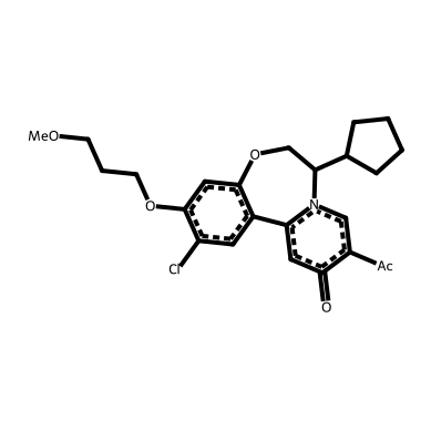 COCCCOc1cc2c(cc1Cl)-c1cc(=O)c(C(C)=O)cn1C(C1CCCC1)CO2